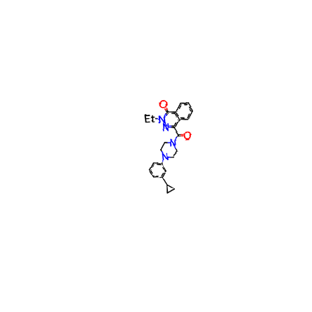 CCn1nc(C(=O)N2CCN(c3cccc(C4CC4)c3)CC2)c2ccccc2c1=O